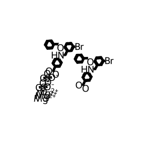 O=C([O-])c1ccc(NCc2cc(Br)ccc2OCc2ccccc2)cc1.O=C([O-])c1ccc(NCc2cc(Br)ccc2OCc2ccccc2)cc1.O=S(=O)([O-])[O-].O=S(=O)([O-])[O-].[Mg+2].[Mg+2].[Mg+2]